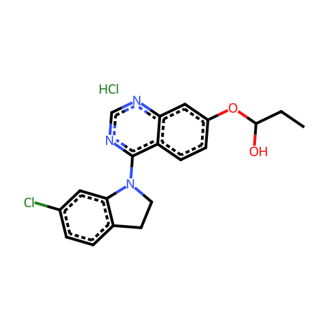 CCC(O)Oc1ccc2c(N3CCc4ccc(Cl)cc43)ncnc2c1.Cl